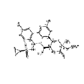 CC(C[C@H](NS(=O)(=O)C1CC1)c1ccc(Cl)cc1)[C@@H]1NC(=O)[C@](C)(CC(=O)O)C[C@@H]1c1cccc(Cl)c1